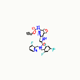 CC(C)(C)OC(=O)Nc1nc2cc(C(=O)N(Cc3ncccc3F)Cc3c(F)cc(F)cc3F)[nH]c2c2c1COC2